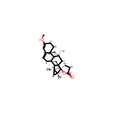 COC1=CC2=CCC3C([C@@H](F)C[C@@]4(C)C3[C@@H]3C[C@@H]3[C@@]43CCC(=O)O3)[C@@]2(C)CC1